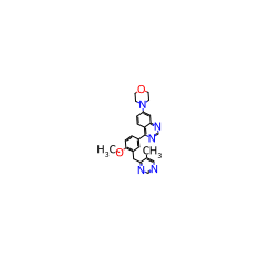 COc1ccc(-c2ncnc3cc(N4CCOCC4)ccc23)cc1Cc1ncncc1C